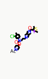 CC(=O)N1CCC(OC(=O)N(CCCN2CC3CN(C(=O)C4=C(C)SC(C)=I4)CC3C2)c2ccc(C)c(Cl)c2)CC1